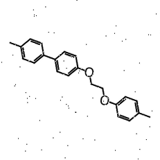 Cc1ccc(OCCOc2ccc(-c3ccc(C)cc3)cc2)cc1